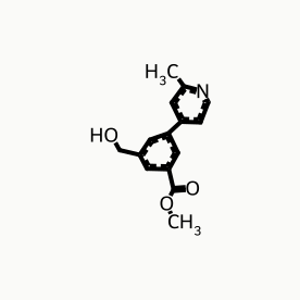 COC(=O)c1cc(CO)cc(-c2ccnc(C)c2)c1